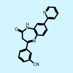 N#Cc1cccc(C2=Nc3ccc(-c4ccccn4)cc3NC(=O)C2)c1